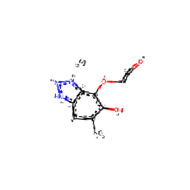 O=C=COc1c(O)c([N+](=O)[O-])cc2[nH]nnc12.[Ag]